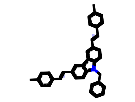 Cc1ccc(/C=C/c2ccc3c(c2)c2cc(/C=C/c4ccc(C)cc4)ccc2n3Cc2ccccc2)cc1